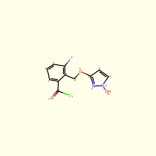 O=C(Cl)c1cccc(I)c1COc1ccn(O)n1